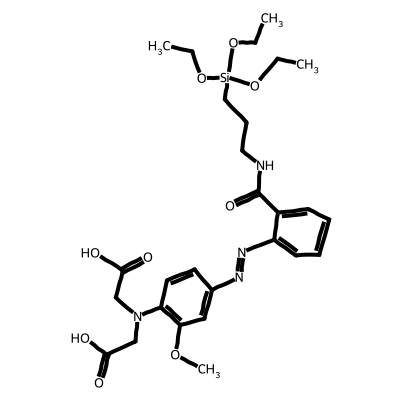 CCO[Si](CCCNC(=O)c1ccccc1/N=N/c1ccc(N(CC(=O)O)CC(=O)O)c(OC)c1)(OCC)OCC